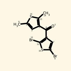 Cc1cc(C(=O)c2cc(Br)sc2Br)c(C)s1